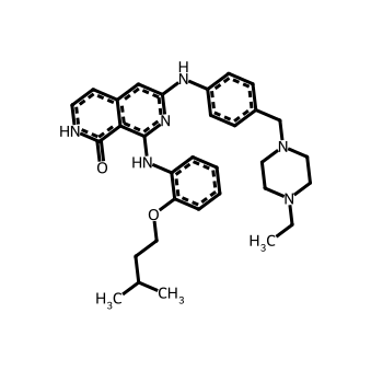 CCN1CCN(Cc2ccc(Nc3cc4cc[nH]c(=O)c4c(Nc4ccccc4OCCC(C)C)n3)cc2)CC1